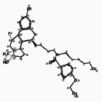 CCCCCCN(CCCC[C@@H]1Cc2cc(O)ccc2C2C1C1CC[C@H](O)[C@@]1(C)C[C@@H]2F)C(=O)c1ccc(OCC)cc1